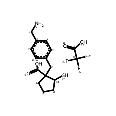 NCc1ccc(CC2(C(=O)O)CCCC2S)cc1.O=C(O)C(F)(F)F